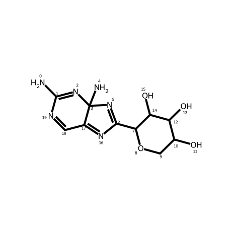 NC1=NC2(N)N=C(C3OCC(O)C(O)C3O)N=C2C=N1